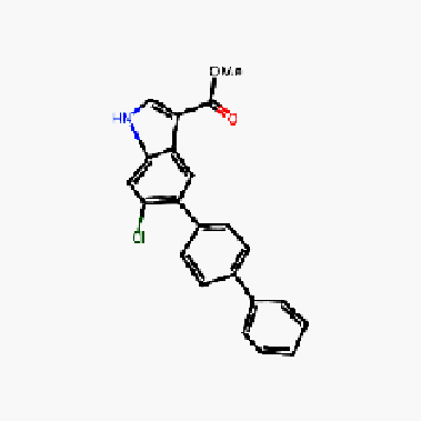 COC(=O)c1c[nH]c2cc(Cl)c(-c3ccc(-c4ccccc4)cc3)cc12